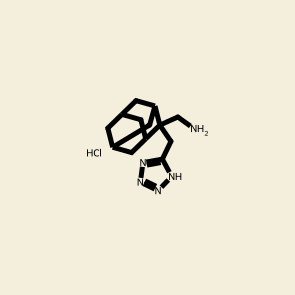 Cl.NCC1(Cc2nnn[nH]2)C2CC3CC(C2)CC1C3